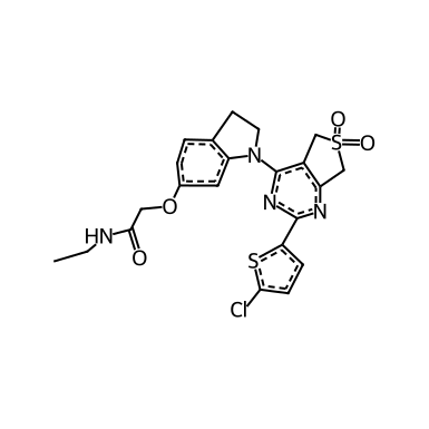 CCNC(=O)COc1ccc2c(c1)N(c1nc(-c3ccc(Cl)s3)nc3c1CS(=O)(=O)C3)CC2